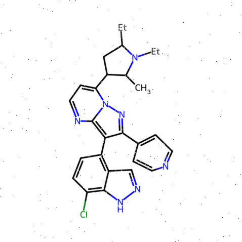 CCC1CC(c2ccnc3c(-c4ccc(Cl)c5[nH]ncc45)c(-c4ccncc4)nn23)C(C)N1CC